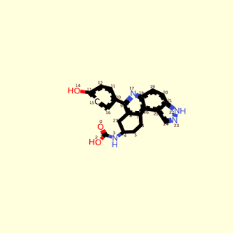 O=C(O)NC1CCc2c(c(-c3ccc(O)cc3)nc3ccc4[nH]ncc4c23)C1